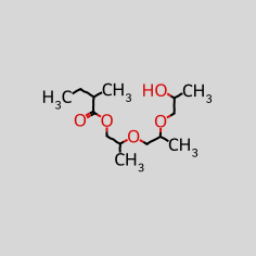 CCC(C)C(=O)OCC(C)OCC(C)OCC(C)O